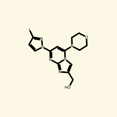 OCc1cn2c(N3CCOCC3)cc(-n3ccc(I)n3)nc2n1